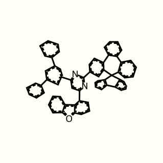 c1ccc(-c2cc(-c3ccccc3)cc(-c3cc(-c4cccc5oc6ccccc6c45)nc(-c4ccc5c(c4)C4(c6ccccc6-c6ccccc6-5)c5ccccc5-c5ccccc54)n3)c2)cc1